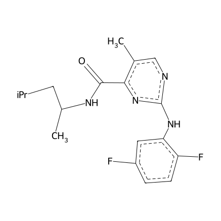 Cc1cnc(Nc2cc(F)ccc2F)nc1C(=O)NC(C)CC(C)C